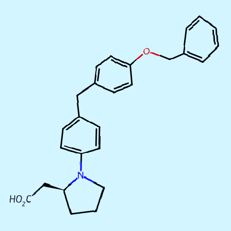 O=C(O)C[C@@H]1CCCN1c1ccc(Cc2ccc(OCc3ccccc3)cc2)cc1